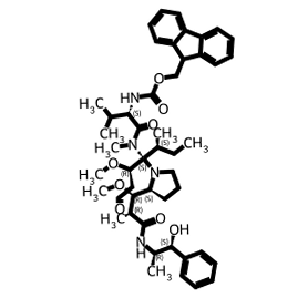 CC[C@H](C)[C@@]([C@@H](CC=O)OC)(N(C)C(=O)[C@@H](NC(=O)OCC1c2ccccc2-c2ccccc21)C(C)C)N1CCC[C@H]1[C@H](OC)[C@@H](C)C(=O)N[C@H](C)[C@@H](O)c1ccccc1